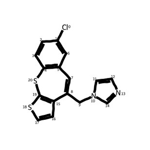 Clc1ccc2c(c1)C=C(Cn1ccnc1)c1ccsc1S2